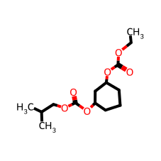 CCOC(=O)OC1CCCC(OC(=O)OCC(C)C)C1